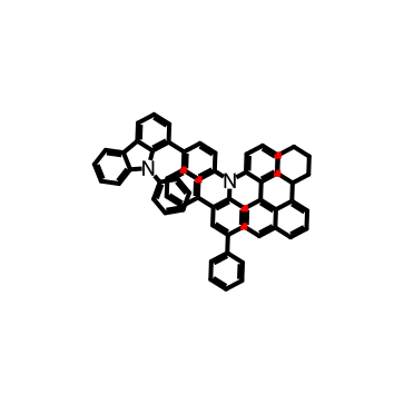 c1ccc(-c2ccc(N(c3ccc(-c4cccc5c6ccccc6n(-c6ccccc6)c45)cc3)c3ccccc3-c3cccc4cccc(C5CCCCC5)c34)c(-c3ccccc3)c2)cc1